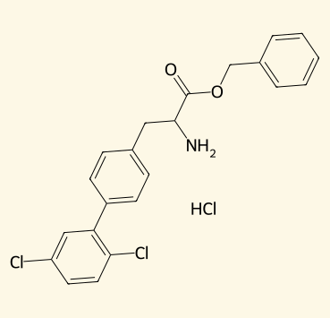 Cl.NC(Cc1ccc(-c2cc(Cl)ccc2Cl)cc1)C(=O)OCc1ccccc1